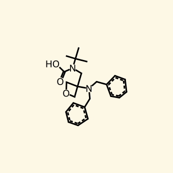 CC(C)(C)N(CC1(N(Cc2ccccc2)Cc2ccccc2)COC1)C(=O)O